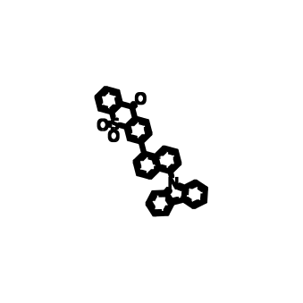 O=C1c2ccccc2S(=O)(=O)c2cc(-c3cccc4c(-n5c6ccccc6c6ccccc65)cccc34)ccc21